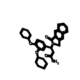 NC(=O)CC(c1ccc(OC2CCCCC2)c(OC2CCCCC2)c1)N1Cc2cc3ccccc3cc2C1=O